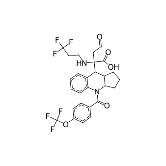 O=CCC(NCCC(F)(F)F)(C(=O)O)C1c2ccccc2N(C(=O)c2ccc(OC(F)(F)F)cc2)C2CCCC21